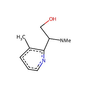 CNC(CO)c1ncccc1C